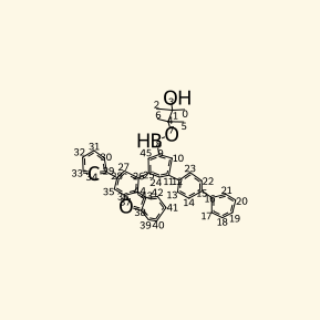 CC(C)(O)C(C)(C)OBc1cc(-c2ccc(-c3ccccc3)cc2)cc(-c2cc(-c3ccccc3)cc3oc4ccccc4c23)c1